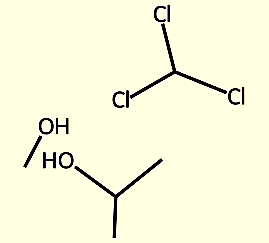 CC(C)O.CO.ClC(Cl)Cl